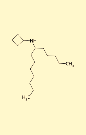 CCCCCCCC(CCCCC)NC1CCC1